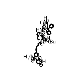 Cn1c(=O)n(C2CCC(=O)NC2=O)c2ccc(C#CCCCC(=O)N3CCC4=CC[C@@H](C(=O)N[C@@H](CCC(N)=O)C(=O)NC(c5ccccc5)c5ccccc5)N4C(=O)[C@@H](NC(=O)OC(C)(C)C)C3)cc21